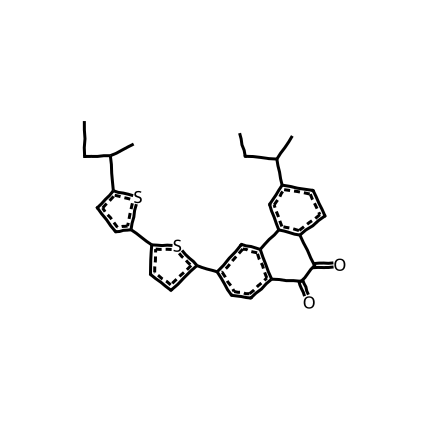 CCC(C)c1ccc2c(c1)-c1cc(-c3ccc(-c4ccc(C(C)CC)s4)s3)ccc1C(=O)C2=O